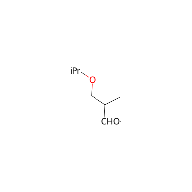 CC([C]=O)COC(C)C